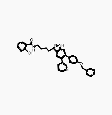 O=C(NCCCCc1n[nH]c2cc(-c3ccc(OCc4ccccc4)cc3)c(-c3cccnc3)cc12)c1ccccc1O